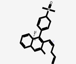 C=CC/C=C\C1=C(C2=CCC(P(C)(C)=O)C=C2)[C@@H]2C=CC=CC2C=C1C